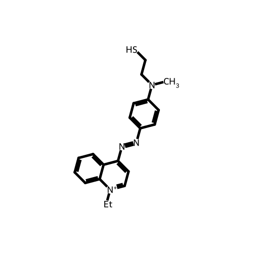 CC[n+]1ccc(/N=N/c2ccc(N(C)CCS)cc2)c2ccccc21